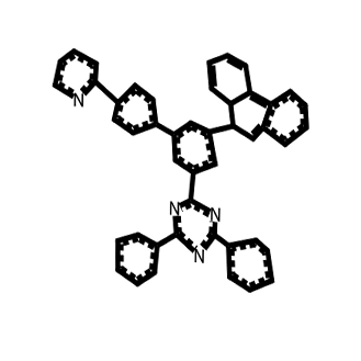 C1=CC2=c3ccccc3=CC(c3cc(-c4ccc(-c5ccccn5)cc4)cc(-c4nc(-c5ccccc5)nc(-c5ccccc5)n4)c3)C2C=C1